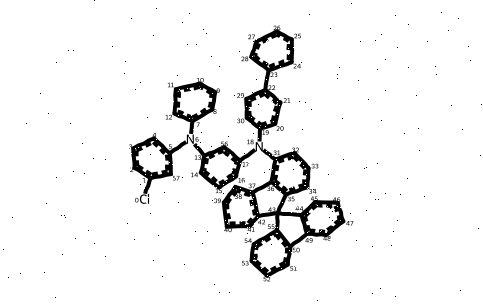 Clc1cccc(N(c2ccccc2)c2cccc(N(c3ccc(-c4ccccc4)cc3)c3cccc4c3-c3ccccc3C43c4ccccc4-c4ccccc43)c2)c1